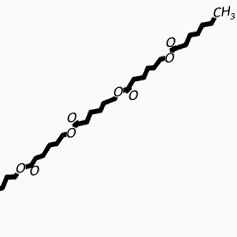 CCCCCCC(=O)OCCCCCC(=O)OCCCCCC(=O)OCCCCCC(=O)OCCCC